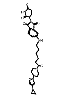 O=C1CCC(N2C(=O)c3ccc(NCCCCCC(=O)N4CCC(n5cc(C6CC6)cn5)CC4)cc3C2=O)C(=O)N1